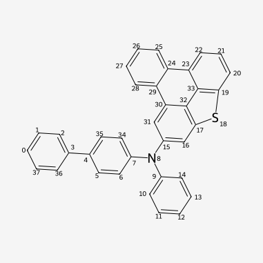 c1ccc(-c2ccc(N(c3ccccc3)c3cc4sc5cccc6c7ccccc7c(c3)c4c56)cc2)cc1